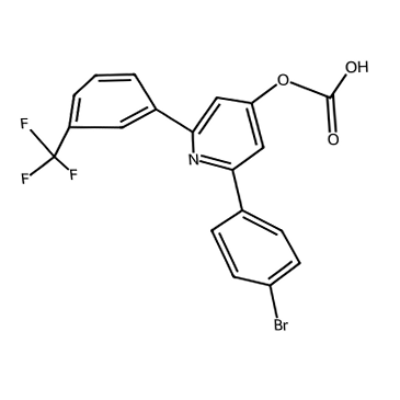 O=C(O)Oc1cc(-c2ccc(Br)cc2)nc(-c2cccc(C(F)(F)F)c2)c1